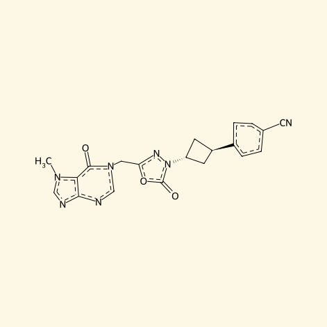 Cn1cnc2ncn(Cc3nn([C@H]4C[C@H](c5ccc(C#N)cc5)C4)c(=O)o3)c(=O)c21